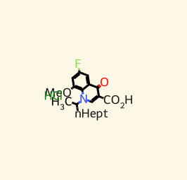 CCCCCCCC(C)n1cc(C(=O)O)c(=O)c2cc(F)cc(OC)c21.Cl